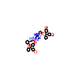 COc1ccc(C(OCc2ccccc2C#CCNc2ncnc3c2ncn3[C@H]2C[CH][C@H](COC(c3ccccc3)(c3ccc(OC)cc3)c3ccc(OC)cc3)O2)(c2ccccc2)c2ccc(OC)cc2)cc1